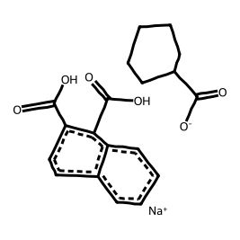 O=C(O)c1ccc2ccccc2c1C(=O)O.O=C([O-])C1CCCCC1.[Na+]